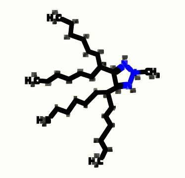 BCCCCCC(CCCCCC)c1nn(C)nc1C(CCCCCC)CCCCCC